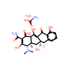 C[C@H]1c2cccc(O)c2C(=O)C2=C(O)[C@]3(O)C(=O)C(C(N)=O)=C(O)[C@@H](N(C)C)[C@@H]3[C@@H](O)[C@@H]21.NC(=O)O.O